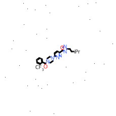 CC(C)CCc1noc(-c2ccc(N3CCN(C(=O)c4ccccc4C(F)(F)F)CC3)nn2)n1